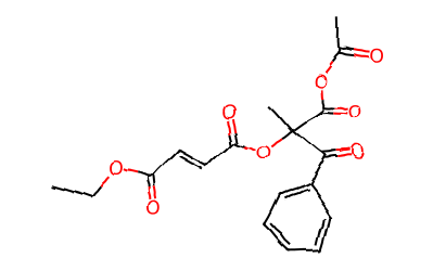 CCOC(=O)C=CC(=O)OC(C)(C(=O)OC(C)=O)C(=O)c1ccccc1